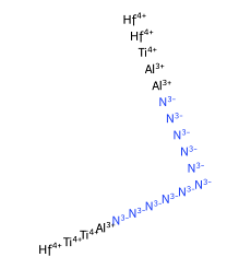 [Al+3].[Al+3].[Al+3].[Hf+4].[Hf+4].[Hf+4].[N-3].[N-3].[N-3].[N-3].[N-3].[N-3].[N-3].[N-3].[N-3].[N-3].[N-3].[Ti+4].[Ti+4].[Ti+4]